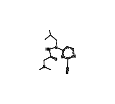 CC(C)CN(NC(=O)CN(C)C)c1ccnc(C#N)n1